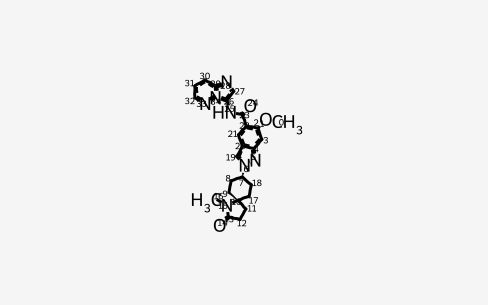 COc1cc2nn([C@H]3CC[C@]4(CCC(=O)N4C)CC3)cc2cc1C(=O)Nc1cnc2cccnn12